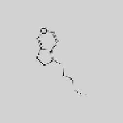 [CH2]CCCCC1=C2C=COC=C2CC1